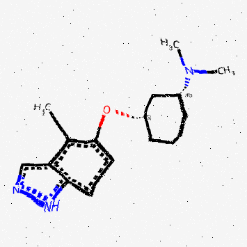 Cc1c(O[C@H]2CCC[C@@H](N(C)C)C2)ccc2[nH]ncc12